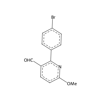 COc1ccc(C=O)c(-c2ccc(Br)cc2)n1